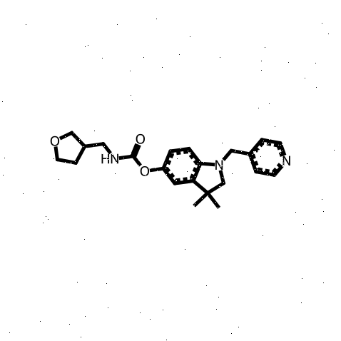 CC1(C)CN(Cc2ccncc2)c2ccc(OC(=O)NCC3CCOC3)cc21